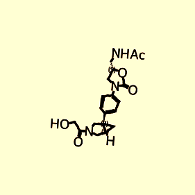 CC(=O)NC[C@H]1CN(c2ccc([C@@]34C[C@@H]3CN(C(=O)CO)C4)cc2)C(=O)O1